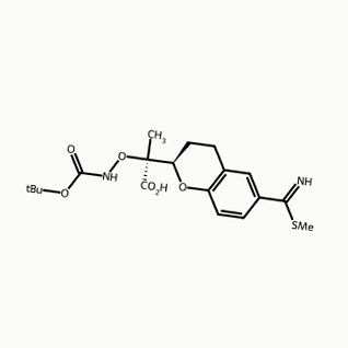 CSC(=N)c1ccc2c(c1)CC[C@H]([C@](C)(ONC(=O)OC(C)(C)C)C(=O)O)O2